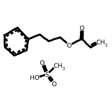 C=CC(=O)OCCCc1ccccc1.CS(=O)(=O)O